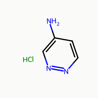 Cl.Nc1ccnnc1